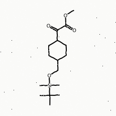 COC(=O)C(=O)C1CCC(CO[Si](C)(C)C(C)(C)C)CC1